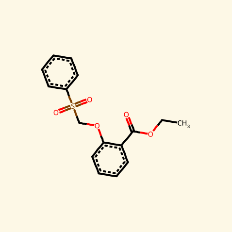 CCOC(=O)c1ccccc1OCS(=O)(=O)c1ccccc1